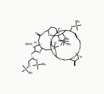 C=C1C[C@@H]2CCC/C=C/C(O[Si](C)(C)C(C)(C)C)C3O[C@H]4CCC5CC(=O)C[C@H]6C(CC7OC(CCC1O2)C[C@@H](C)/C7=N/C4(O5)C(O[Si](C)(C)C(C)(C)C)C3O[Si](C)(C)C(C)(C)C)OC(C[C@@H](CO[Si](C)(C)C(C)(C)C)O[Si](C)(C)C(C)(C)C)[C@@H]6OC